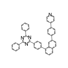 c1ccc(-c2nc(-c3ccccc3)nc(-c3ccc(-c4cccc5ccc(-c6ccc(-c7ccncc7)cc6)cc45)cc3)n2)cc1